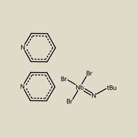 CC(C)(C)[N]=[Nb]([Br])([Br])[Br].c1ccncc1.c1ccncc1